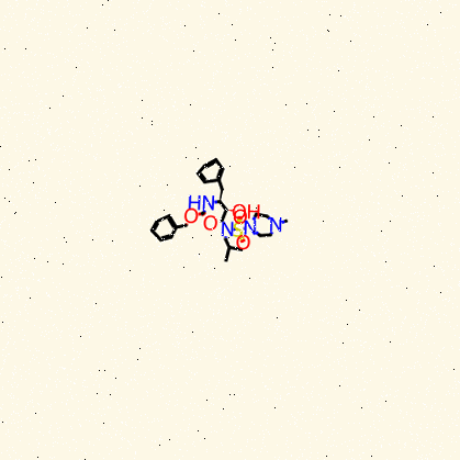 CC(C)CN(C[C@@H](O)[C@H](Cc1ccccc1)NC(=O)OCc1ccccc1)S(=O)(=O)N1CCN(C)CC1